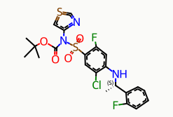 C[C@H](Nc1cc(F)c(S(=O)(=O)N(C(=O)OC(C)(C)C)c2cscn2)cc1Cl)c1ccccc1F